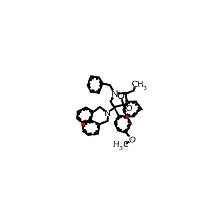 CCOC(=O)C(CN(Cc1ccccc1)Cc1ccccc1)(c1ccc(OC)cc1)N(Cc1ccccc1)Cc1ccccc1